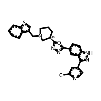 Clc1cc(-c2n[nH]c3ccc(-c4nnc([C@@H]5CCCN(Cc6csc7ccccc67)C5)o4)cc23)ccn1